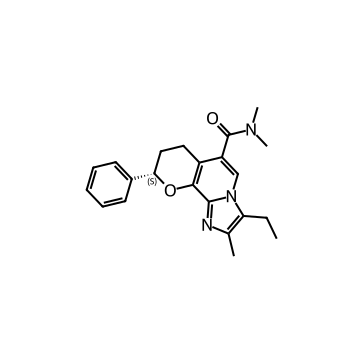 CCc1c(C)nc2c3c(c(C(=O)N(C)C)cn12)CC[C@@H](c1ccccc1)O3